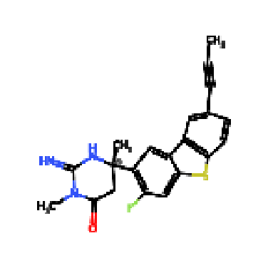 CC#Cc1ccc2sc3cc(F)c([C@]4(C)CC(=O)N(C)C(=N)N4)cc3c2c1